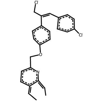 C/C=c1/ccc(COc2ccc(/C(=C\c3ccc(Cl)cc3)CCl)cc2)n/c1=C/C